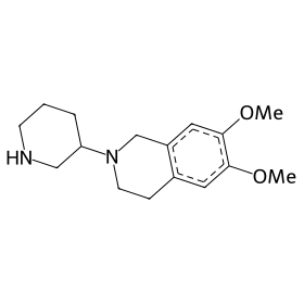 COc1cc2c(cc1OC)CN(C1CCCNC1)CC2